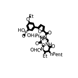 CCCCCC(C(=O)NCNC(=O)c1ccc(-c2cc(OCC)cc(P(=O)(O)O)c2)o1)C(CC)N(C=O)OC(=O)NC(C)C